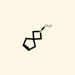 O=C(O)N1CC2(CC=CC2)C1